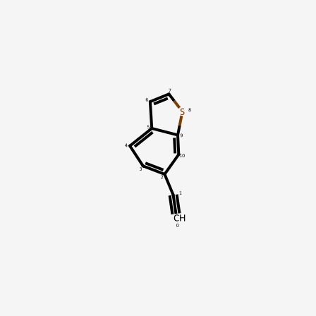 C#Cc1ccc2c[c]sc2c1